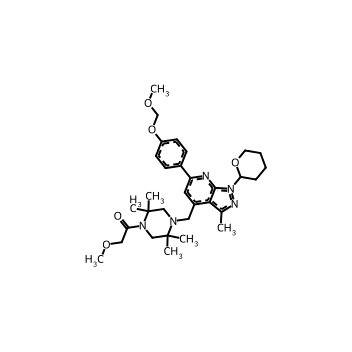 COCOc1ccc(-c2cc(CN3CC(C)(C)N(C(=O)COC)CC3(C)C)c3c(C)nn(C4CCCCO4)c3n2)cc1